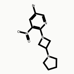 O=[N+]([O-])c1cc(Br)cnc1N1CC(N2CCCC2)C1